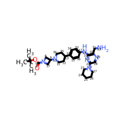 CC(C)(C)OC(=O)N1CC(N2CCC(c3ccc(Nc4nc(N5CCCCC5)cnc4CN)cc3)CC2)C1